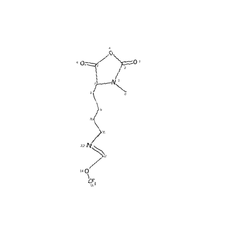 CN1C(=O)OC(=O)C1CCCCN=COC(F)(F)F